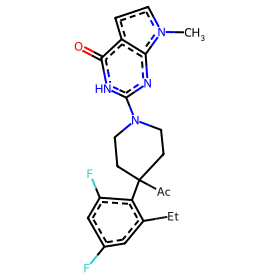 CCc1cc(F)cc(F)c1C1(C(C)=O)CCN(c2nc3c(ccn3C)c(=O)[nH]2)CC1